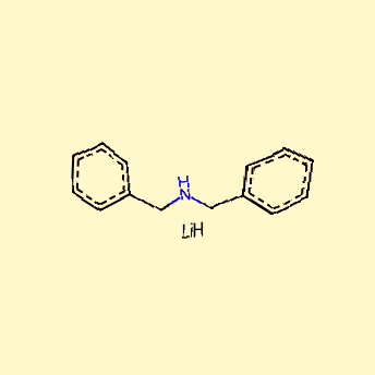 [LiH].c1ccc(CNCc2ccccc2)cc1